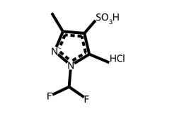 Cc1nn(C(F)F)c(C)c1S(=O)(=O)O.Cl